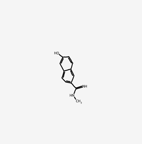 CNC(=N)c1ccc2cc(O)ccc2c1